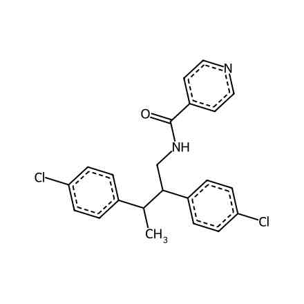 CC(c1ccc(Cl)cc1)C(CNC(=O)c1ccncc1)c1ccc(Cl)cc1